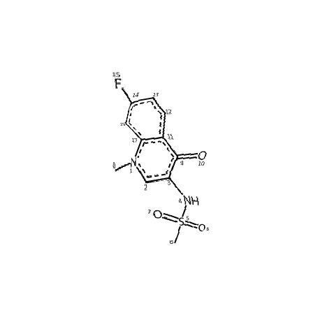 Cn1cc(NS(C)(=O)=O)c(=O)c2ccc(F)cc21